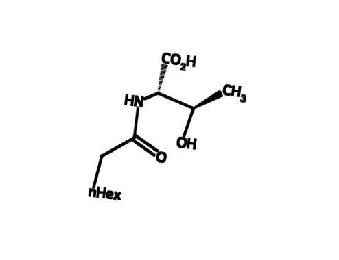 CCCCCCCC(=O)N[C@H](C(=O)O)[C@@H](C)O